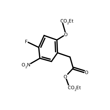 CCOC(=O)OC(=O)Cc1cc([N+](=O)[O-])c(F)cc1OC(=O)OCC